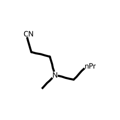 CCCCN(C)CCC#N